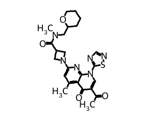 CC(=O)c1cn(-c2ncns2)c2nc(N3CC(C(=O)N(C)CC4CCCCO4)C3)cc(C)c2c1=O